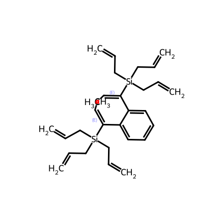 C=CC[Si](CC=C)(CC=C)/C(=C/C)c1ccccc1/C(=C\C)[Si](CC=C)(CC=C)CC=C